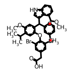 COC(=O)c1cccc2[nH]cc(C(c3cccc(C)c3)c3cc(OC)c(C(C)C)cc3Oc3c(Br)cc(CC(=O)O)cc3Br)c12